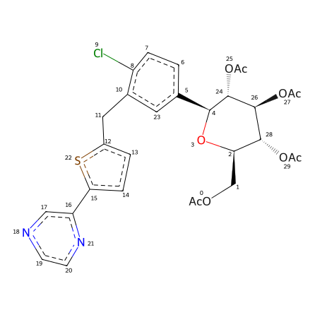 CC(=O)OC[C@H]1O[C@@H](c2ccc(Cl)c(Cc3ccc(-c4cnccn4)s3)c2)[C@H](OC(C)=O)[C@@H](OC(C)=O)[C@@H]1OC(C)=O